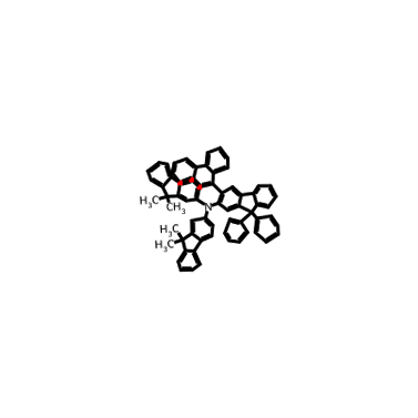 CC1(C)c2ccccc2-c2ccc(N(c3ccc4c(c3)C(C)(C)c3ccccc3-4)c3cc4c(cc3-c3cc5ccccc5c5ccccc35)-c3ccccc3C4(c3ccccc3)c3ccccc3)cc21